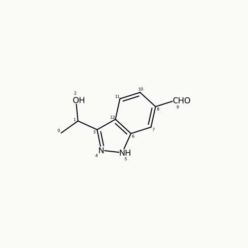 CC(O)c1n[nH]c2cc(C=O)ccc12